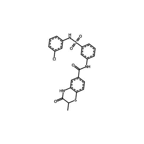 CC1Sc2ccc(C(=O)Nc3cccc(S(=O)(=O)Nc4cccc(Cl)c4)c3)cc2NC1=O